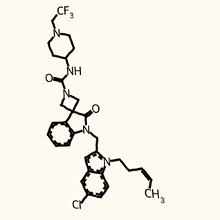 C/C=C\CCn1c(CN2C(=O)C3(CN(C(=O)NC4CCN(CC(F)(F)F)CC4)C3)c3ccccc32)cc2cc(Cl)ccc21